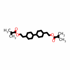 C=C(C)C(=O)OCCC1CCC(C2CCC(CCOC(=O)C(=C)C)CC2)CC1